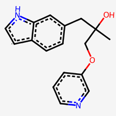 CC(O)(COc1cccnc1)Cc1ccc2[c]c[nH]c2c1